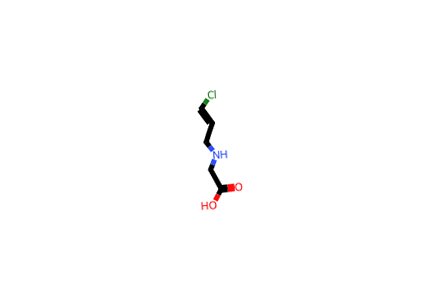 O=C(O)CNCC=CCl